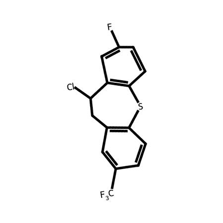 Fc1ccc2c(c1)C(Cl)Cc1cc(C(F)(F)F)ccc1S2